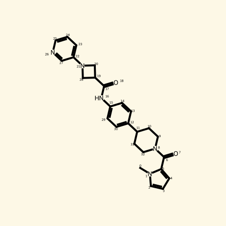 Cn1cccc1C(=O)N1CCC(c2ccc(NC(=O)C3CN(c4cccnc4)C3)cc2)CC1